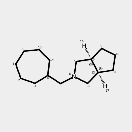 C1CCCC(CN2C[C@H]3CCC[C@H]3C2)CC1